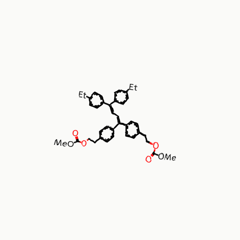 CCc1ccc(C(=CC=C(c2ccc(CCOC(=O)OC)cc2)c2ccc(CCOC(=O)OC)cc2)c2ccc(CC)cc2)cc1